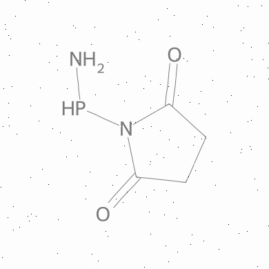 NPN1C(=O)CCC1=O